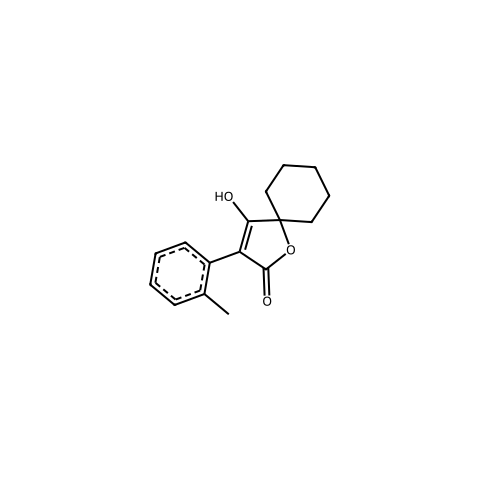 Cc1ccccc1C1=C(O)C2(CCCCC2)OC1=O